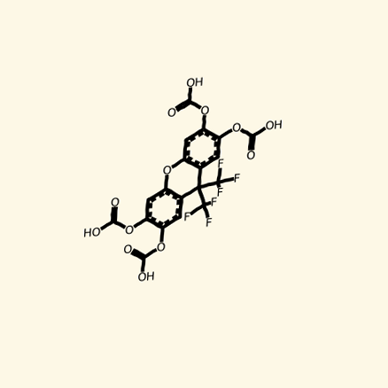 O=C(O)Oc1cc2c(cc1OC(=O)O)C(C(F)(F)F)(C(F)(F)F)c1cc(OC(=O)O)c(OC(=O)O)cc1O2